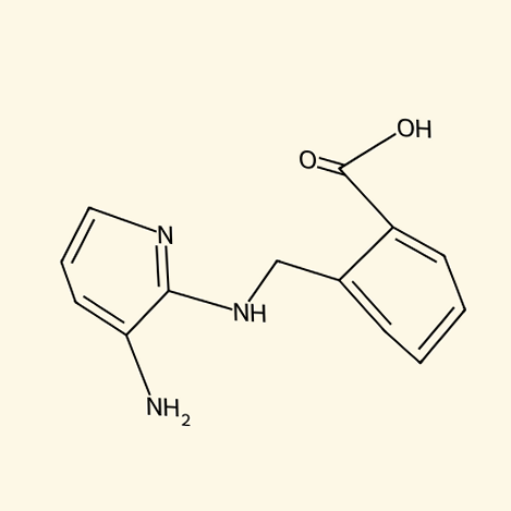 Nc1cccnc1NCc1ccccc1C(=O)O